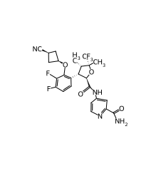 C[C@H]1[C@@H](c2ccc(F)c(F)c2O[C@H]2C[C@@H](C#N)C2)[C@H](C(=O)Nc2ccnc(C(N)=O)c2)O[C@@]1(C)C(F)(F)F